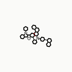 c1ccc(-n2c3ccccc3c3oc4c(-c5ccccc5N(c5ccc(-c6cccc7ccccc67)cc5)c5ccc6c(ccc7ccccc76)c5)cccc4c32)cc1